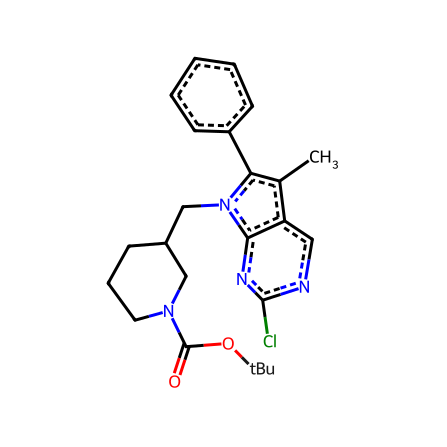 Cc1c(-c2ccccc2)n(CC2CCCN(C(=O)OC(C)(C)C)C2)c2nc(Cl)ncc12